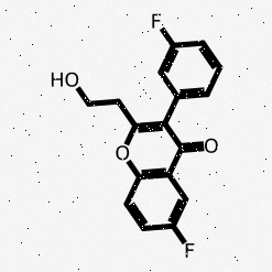 O=c1c(-c2cccc(F)c2)c(CCO)oc2ccc(F)cc12